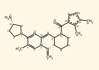 C=NN1C=C(C)C(N2CC[C@H](N)C2)=N/C1=C/C1CCCCN1C(=O)c1cnn(C)c1C